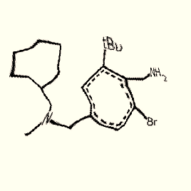 CN(Cc1cc(Br)c(N)c(C(C)(C)C)c1)C1CCCCC1